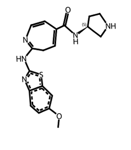 COc1ccc2nc(NC3=NC=CC(C(=O)N[C@H]4CCNC4)=CC3)sc2c1